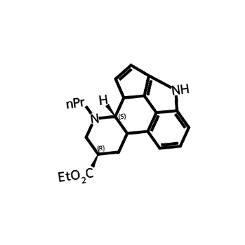 CCCN1C[C@H](C(=O)OCC)CC2c3cccc4[nH]c5c(c34)C(C=C5)[C@H]21